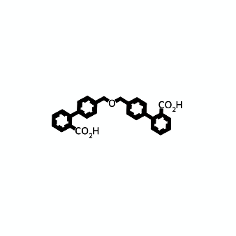 O=C(O)c1ccccc1-c1ccc(COCc2ccc(-c3ccccc3C(=O)O)cc2)cc1